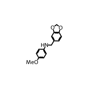 COc1ccc(NCc2ccc3c(c2)OCO3)cc1